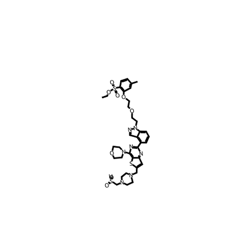 CCOS(=O)(=O)c1ccc(C)cc1OCCOCCn1ncc2c(-c3nc(N4CCOCC4)c4sc(CN5CCN(C[SH](=O)=O)CC5)cc4n3)cccc21